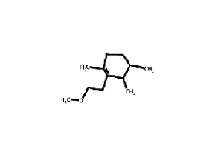 COCCC1=C(C)CCC(C)C1C